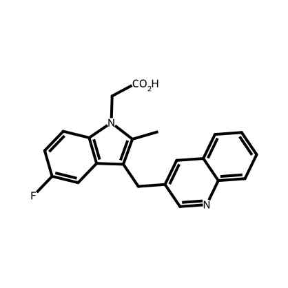 Cc1c(Cc2cnc3ccccc3c2)c2cc(F)ccc2n1CC(=O)O